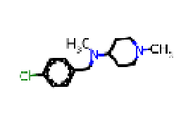 CN1CCC(N(C)Cc2ccc(Cl)cc2)CC1